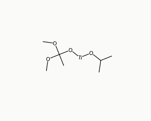 COC(C)(OC)[O][Ti][O]C(C)C